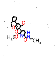 CCCNC(=O)c1ccc(-c2cc3c(cc2C=O)-c2ccccc2CCO3)c(C(=O)OC)n1